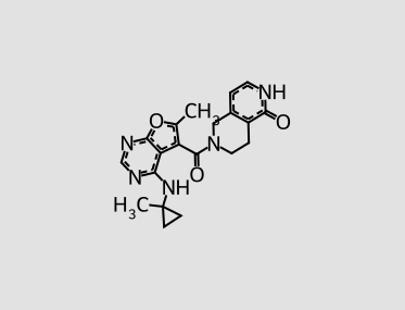 Cc1oc2ncnc(NC3(C)CC3)c2c1C(=O)N1CCc2c(cc[nH]c2=O)C1